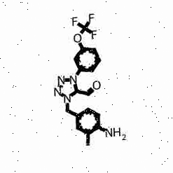 Cc1cc(CN2N=NN(c3cccc(OC(F)(F)F)c3)C2C=O)ccc1N